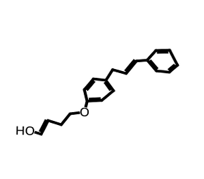 OC=CCCOc1ccc(CC=Cc2ccccc2)cc1